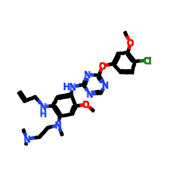 C=CCNc1cc(Nc2ncnc(Oc3ccc(Cl)c(OC)c3)n2)c(OC)cc1N(C)CCN(C)C